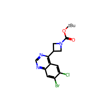 CC(C)(C)OC(=O)N1CC(c2ncnc3cc(Br)c(Cl)cc23)C1